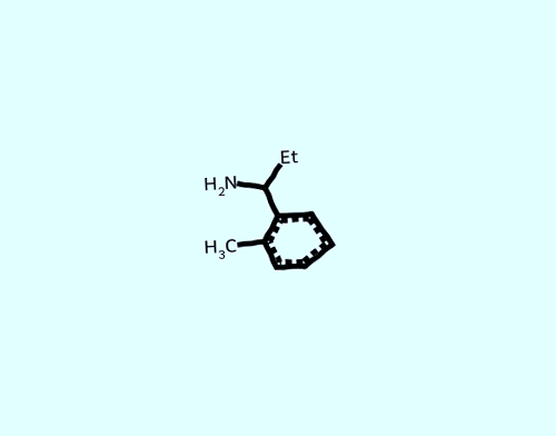 CCC(N)c1ccccc1C